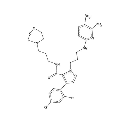 Nc1nc(NCCCn2ccc(-c3ccc(Cl)cc3Cl)c2C(=O)NCCCN2CCOCC2)ccc1[N+](=O)[O-]